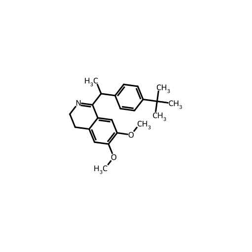 COc1cc2c(cc1OC)C(C(C)c1ccc(C(C)(C)C)cc1)=NCC2